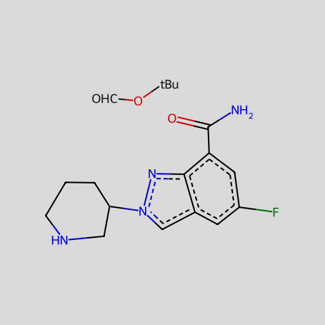 CC(C)(C)OC=O.NC(=O)c1cc(F)cc2cn(C3CCCNC3)nc12